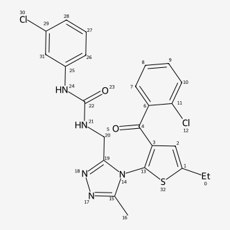 CCc1cc(C(=O)c2ccccc2Cl)c(-n2c(C)nnc2CNC(=O)Nc2cccc(Cl)c2)s1